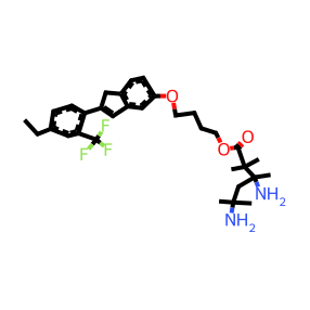 CCc1ccc(C2=Cc3cc(OCCCCOC(=O)C(C)(C)C(C)(N)CC(C)(C)N)ccc3C2)c(C(F)(F)F)c1